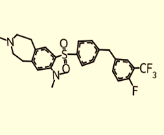 CN1CCc2cc(N(C)C)c(S(=O)(=O)c3ccc(Cc4ccc(F)c(C(F)(F)F)c4)cc3)cc2CC1